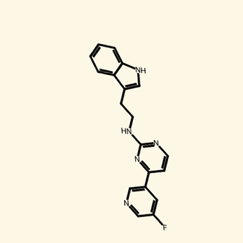 Fc1cncc(-c2ccnc(NCCc3c[nH]c4ccccc34)n2)c1